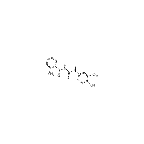 Cc1ccccc1C(=O)NC(=S)Nc1cnc(C#N)c(C(F)(F)F)c1